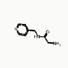 NCC(=O)NCc1ccncc1